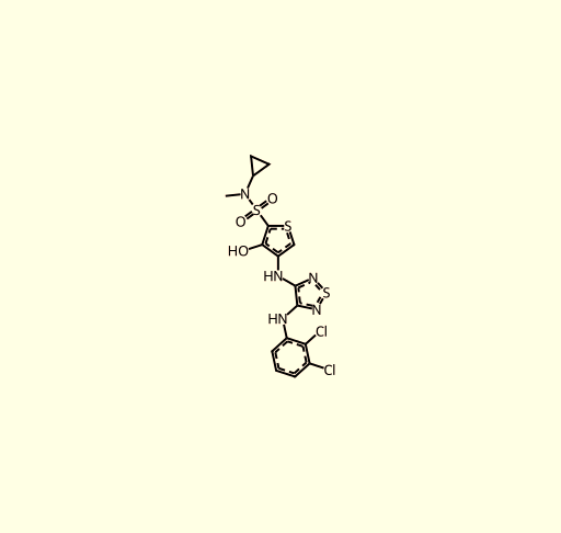 CN(C1CC1)S(=O)(=O)c1scc(Nc2nsnc2Nc2cccc(Cl)c2Cl)c1O